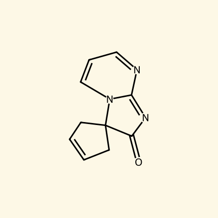 O=C1N=C2N=CC=CN2C12CC=CC2